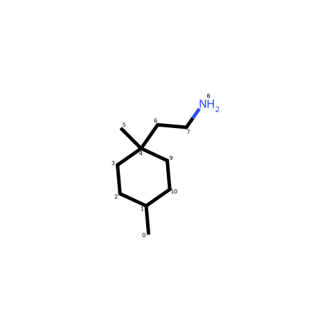 CC1CCC(C)(CCN)CC1